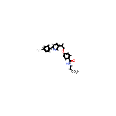 CC(COc1ccc(C(=O)NCCC(=O)O)cc1)c1ccc(-c2ccc(C(F)(F)F)cc2)nc1